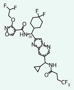 O=C(CCC(F)(F)F)NC(c1cnn2cc([C@@H](NC(=O)c3conc3OCC(F)F)C3CCC(F)(F)CC3)nc2c1)C1CC1